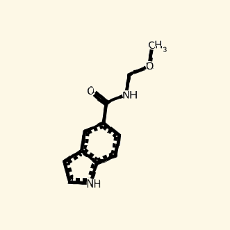 COCNC(=O)c1ccc2[nH]ccc2c1